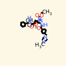 C=COC(=O)n1nc(NC(=O)c2ccc(CN3CCN(C)CC3)cc2)c2oc(C(=O)NC(C)(C)c3ccccc3)cc21